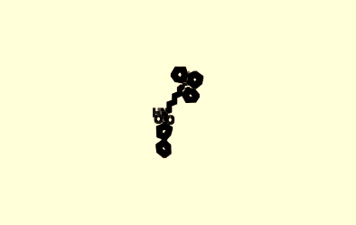 O=S(=O)(NCCCCCC[PH](c1ccccc1)(c1ccccc1)c1ccccc1)c1ccc(-c2ccccc2)cc1